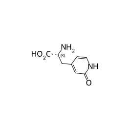 N[C@H](Cc1cc[nH]c(=O)c1)C(=O)O